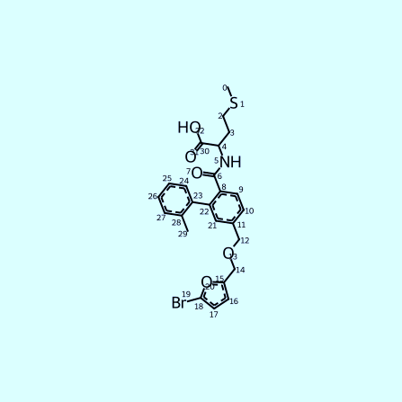 CSCCC(NC(=O)c1ccc(COCc2ccc(Br)o2)cc1-c1ccccc1C)C(=O)O